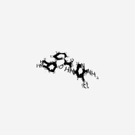 CCc1cc(NC(=O)C(=O)N2CCCC[C@H]2c2cccc3[nH]ncc23)cnc1N